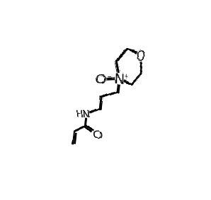 C=CC(=O)NCCC[N+]1([O-])CCOCC1